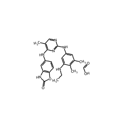 CCNc1cc(Nc2ncc(C)c(Nc3ccc4oc(=O)[nH]c4c3)n2)cc(C)c1C.O=CO